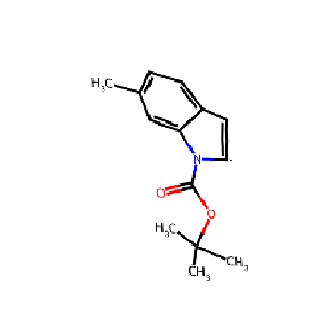 Cc1ccc2c[c]n(C(=O)OC(C)(C)C)c2c1